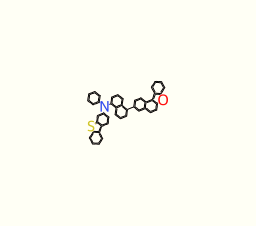 c1ccc(N(c2ccc3c(c2)sc2ccccc23)c2cccc3c(-c4ccc5c(ccc6oc7ccccc7c65)c4)cccc23)cc1